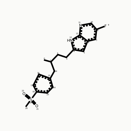 CC(CCc1cc2cc(F)cnc2[nH]1)Cc1ccc(S(C)(=O)=O)cc1